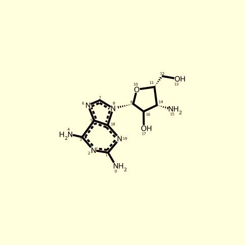 Nc1nc(N)c2ncn([C@@H]3O[C@H](CO)[C@H](N)C3O)c2n1